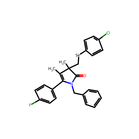 CC1=C(c2ccc(F)cc2)N(Cc2ccccc2)C(=O)C1(C)C[Se]c1ccc(Cl)cc1